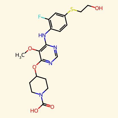 COc1c(Nc2ccc(SCCO)cc2F)ncnc1OC1CCN(C(=O)O)CC1